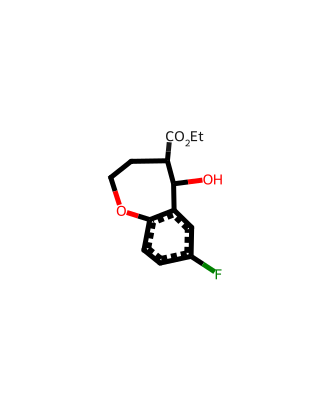 CCOC(=O)C1CCOc2ccc(F)cc2C1O